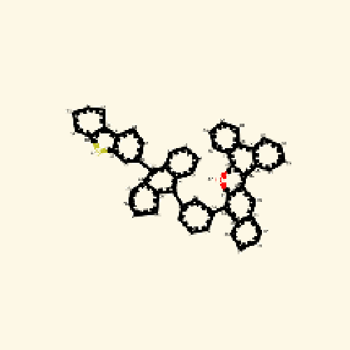 c1cc(-c2c3ccccc3c(-c3ccc4c(c3)sc3ccccc34)c3ccccc23)cc(-c2c3ccccc3cc3c2oc2c4ccccc4c4ccccc4c32)c1